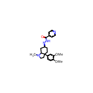 COc1ccc(C23CC/C(=N\NC(=O)c4ccncc4)CC2N(C)CC3)cc1OC